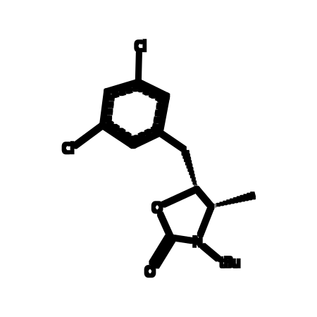 C[C@H]1[C@@H](Cc2cc(Cl)cc(Cl)c2)OC(=O)N1C(C)(C)C